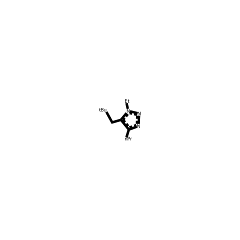 CCCc1nnn(CC)c1CC(C)(C)C